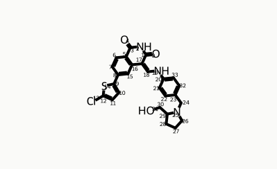 O=C1NC(=O)c2ccc(-c3ccc(Cl)s3)cc2/C1=C/Nc1ccc(CN2CCCC2CO)cc1